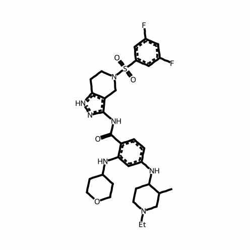 CCN1CCC(Nc2ccc(C(=O)Nc3n[nH]c4c3CN(S(=O)(=O)c3cc(F)cc(F)c3)CC4)c(NC3CCOCC3)c2)C(C)C1